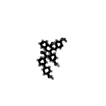 Cc1ccc(CN2C(=O)c3ccccc3[C@@H](C(=O)Nc3cccc(N4CCN(C)CC4)c3)[C@@H]2c2ccc(C(F)(F)F)cc2)cc1